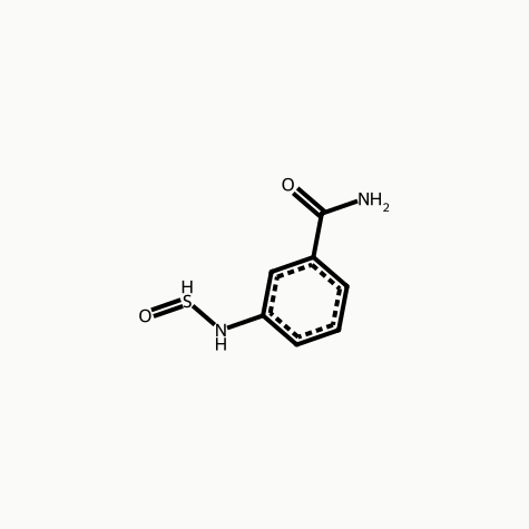 NC(=O)c1cccc(N[SH]=O)c1